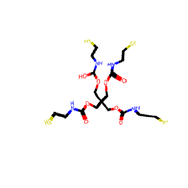 O=C(NCCS)OCC(COC(=O)NCCS)(COC(=O)NCCS)COC(O)NCCS